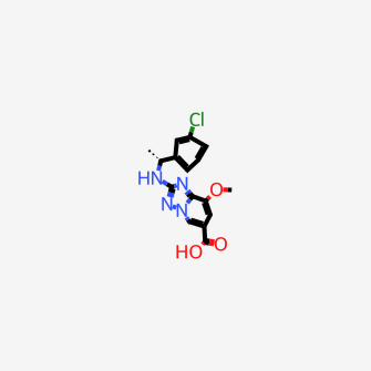 COc1cc(C(=O)O)cn2nc(N[C@H](C)c3cccc(Cl)c3)nc12